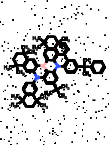 CC(C)(C)c1cc2c3c(c1)N(c1ccc(C(C)(C)c4ccccc4)cc1-c1ccccc1)c1cc4c(cc1B3c1cc3c(cc1N2c1ccc2c(c1)C(C)(C)CCC2(C)C)C(C)(C)CCC3(C)C)C(C)(C)CCC4(C)C